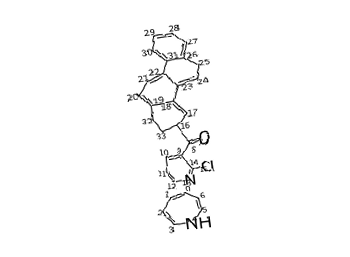 C1=CC=CNC=C1.O=C(c1cccnc1Cl)C1C=c2c(ccc3c2=CCc2ccccc2-3)CC1